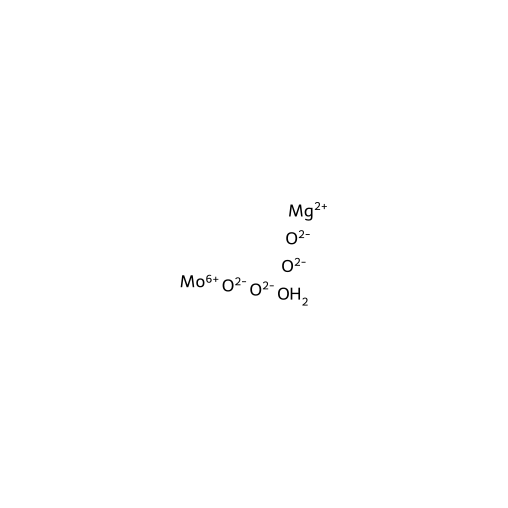 O.[Mg+2].[Mo+6].[O-2].[O-2].[O-2].[O-2]